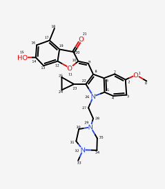 COc1ccc2c(c1)c(/C=C1\Oc3cc(O)cc(C)c3C1=O)c(C1CC1)n2CCN1CCN(C)CC1